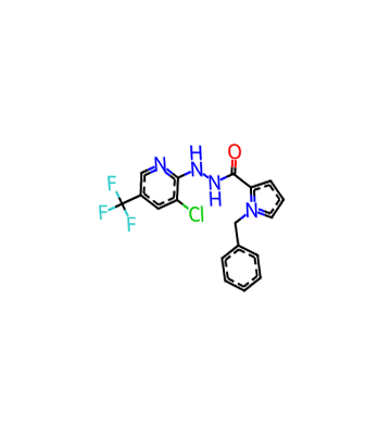 O=C(NNc1ncc(C(F)(F)F)cc1Cl)c1cccn1Cc1ccccc1